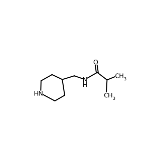 CC(C)C(=O)NCC1CCNCC1